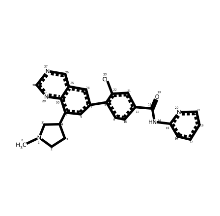 CN1CCC(c2cc(-c3ccc(C(=O)Nc4ccccn4)cc3Cl)cc3cncnc23)C1